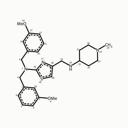 COc1cccc(CN(Cc2cccc(OC)c2)c2nc(CNC3CCN(C)CC3)cs2)c1